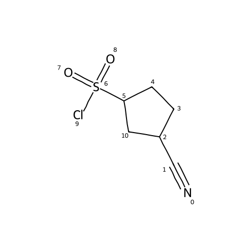 N#CC1CCC(S(=O)(=O)Cl)C1